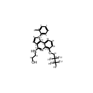 Cc1ccccc1-n1ccc2c(NCCO)nc3c(OCC(F)(F)C(F)(F)F)cccc3c21